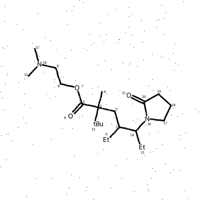 CCC(CC(C)(C(=O)OCCN(C)C)C(C)(C)C)C(CC)N1CCCC1=O